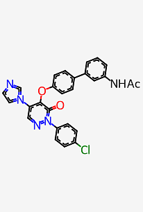 CC(=O)Nc1cccc(-c2ccc(Oc3c(-n4ccnc4)cnn(-c4ccc(Cl)cc4)c3=O)cc2)c1